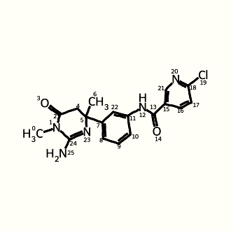 CN1C(=O)CC(C)(c2cccc(NC(=O)c3ccc(Cl)nc3)c2)N=C1N